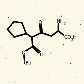 CC(C)(C)OC(=O)C(C(=O)CC(N)C(=O)O)C1CCCC1